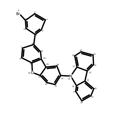 Brc1cccc(-c2ccc3oc4ccc(-n5c6ccccc6c6ccccc65)cc4c3c2)c1